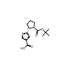 CC(C)(C)OC(=O)N1CCC[C@H]1c1cc(C(=O)O)cs1